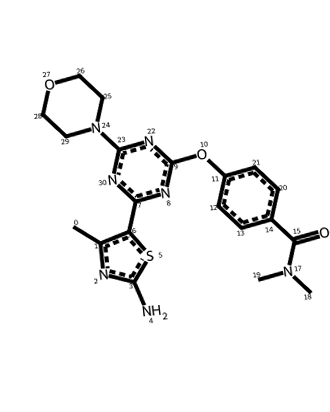 Cc1nc(N)sc1-c1nc(Oc2ccc(C(=O)N(C)C)cc2)nc(N2CCOCC2)n1